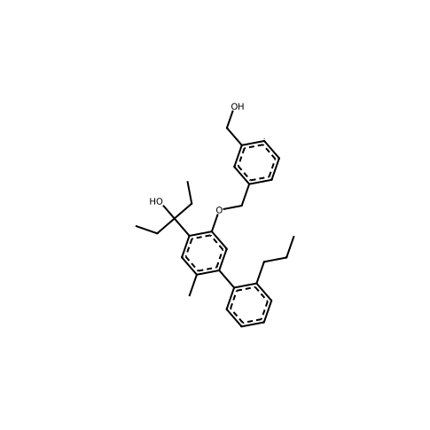 CCCc1ccccc1-c1cc(OCc2cc[c]c(CO)c2)c(C(O)(CC)CC)cc1C